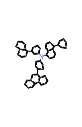 c1ccc(-c2cccc3c(N(c4ccc(-c5cc6ccccc6c6ccccc56)cc4)c4cccc(-c5cccc6ccccc56)c4)cccc23)cc1